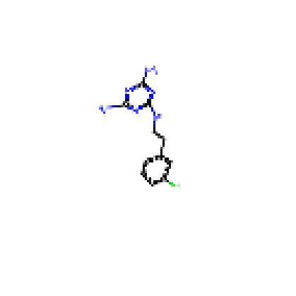 Nc1nc(N)nc(NCCc2cccc(Cl)c2)n1